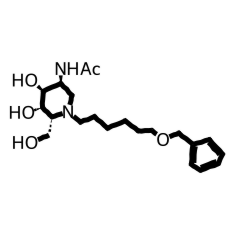 CC(=O)N[C@H]1CN(CCCCCCOCc2ccccc2)[C@H](CO)[C@H](O)[C@H]1O